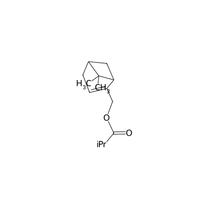 CC(C)C(=O)OCC1=CCC2CC1C2(C)C